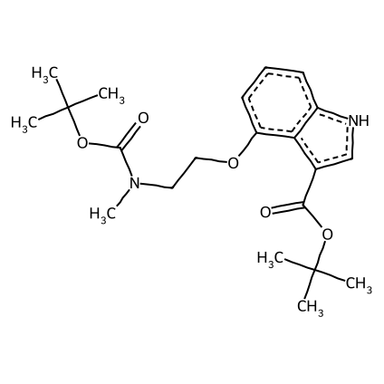 CN(CCOc1cccc2[nH]cc(C(=O)OC(C)(C)C)c12)C(=O)OC(C)(C)C